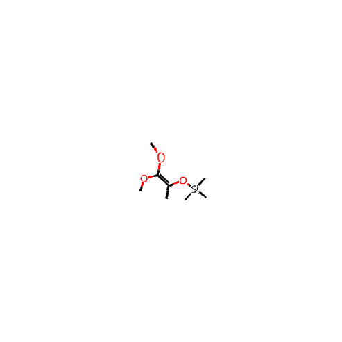 COC(OC)=C(C)O[Si](C)(C)C